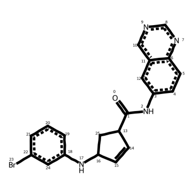 O=C(Nc1ccc2ncncc2c1)C1C=CC(Nc2cccc(Br)c2)C1